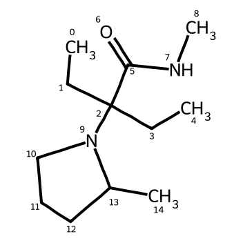 CCC(CC)(C(=O)NC)N1CCCC1C